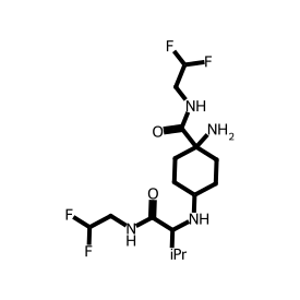 CC(C)C(NC1CCC(N)(C(=O)NCC(F)F)CC1)C(=O)NCC(F)F